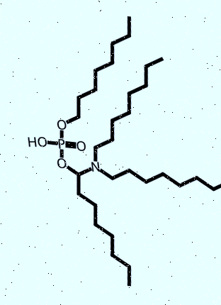 CCCCCCCCOP(=O)(O)OC(CCCCCCC)N(CCCCCCCC)CCCCCCCC